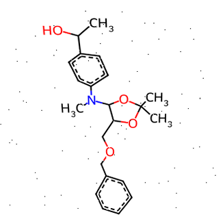 CC(O)c1ccc(N(C)C2OC(C)(C)OC2COCc2ccccc2)cc1